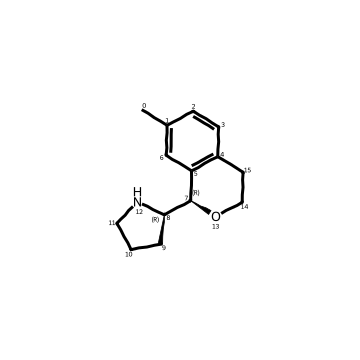 Cc1ccc2c(c1)[C@H]([C@H]1CCCN1)OCC2